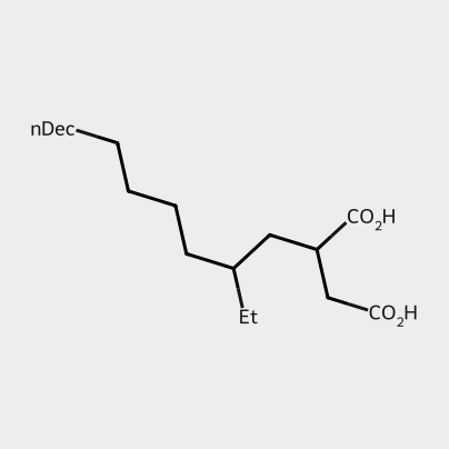 CCCCCCCCCCCCCCC(CC)CC(CC(=O)O)C(=O)O